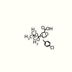 CC(C)(C)OC(=O)N1CC(C(=O)O)OC[C@@H]1Cc1ccc(Cl)cc1